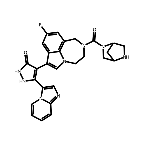 O=C(N1CCn2cc(-c3c(-c4cnc5ccccn45)[nH][nH]c3=O)c3cc(F)cc(c32)C1)N1CC2CC1CN2